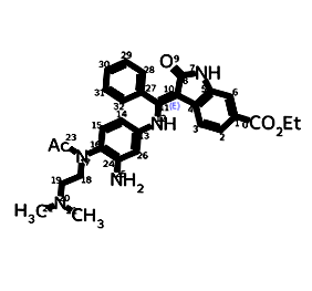 CCOC(=O)c1ccc2c(c1)NC(=O)/C2=C(/Nc1ccc(N(CCN(C)C)C(C)=O)c(N)c1)c1ccccc1